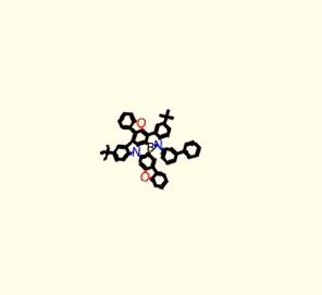 CC(C)(C)c1ccc2c(c1)-c1c3c4c(c5cc(C(C)(C)C)ccc5n4-c4cc5oc6ccccc6c5cc4B3N2c2cccc(-c3ccccc3)c2)c2c1oc1ccccc12